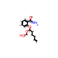 C=CCCCC(OCO)Oc1ccccc1C(N)=O